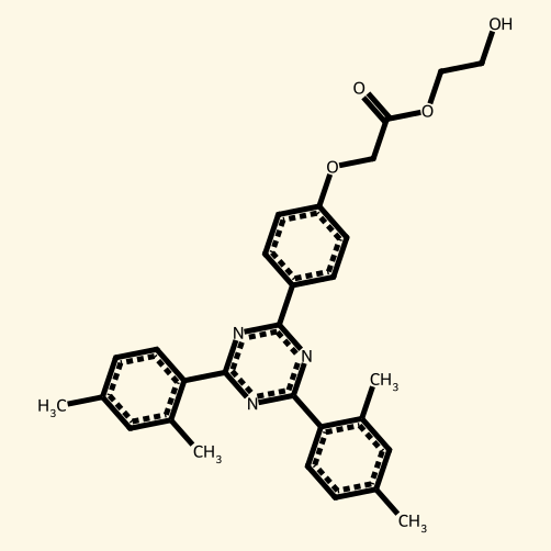 Cc1ccc(-c2nc(-c3ccc(OCC(=O)OCCO)cc3)nc(-c3ccc(C)cc3C)n2)c(C)c1